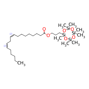 CCCCC/C=C\C/C=C\CCCCCCCC(=O)OCCC[Si]1(C)O[Si](C)(C)O[Si](C)(C)O[Si](C)(C)O1